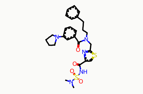 CN(C)S(=O)(=O)NC(=O)c1csc(CN(CCCc2ccccc2)C(=O)c2cccc(N3CCCC3)c2)n1